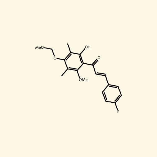 COCOc1c(C)c(O)c(C(=O)C=Cc2ccc(F)cc2)c(OC)c1C